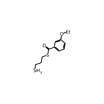 CCOc1cccc(C(=O)SCCC[SiH3])c1